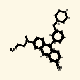 CN(CCN)c1ccc2c(-c3cccc(CN4CCOCC4)c3)c3ccc(=N)cc-3oc2c1